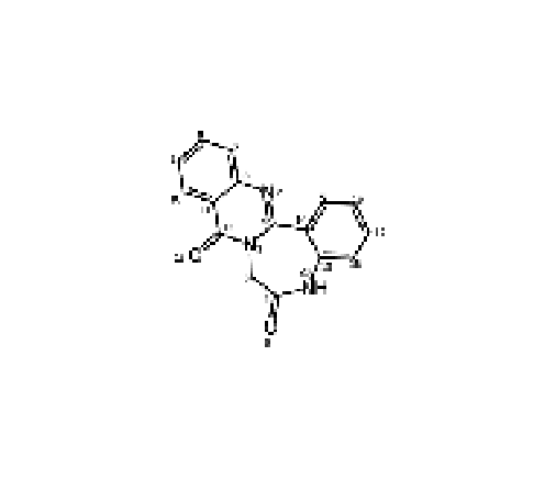 O=C1Cn2c(nc3ccccc3c2=O)-c2ccccc2N1